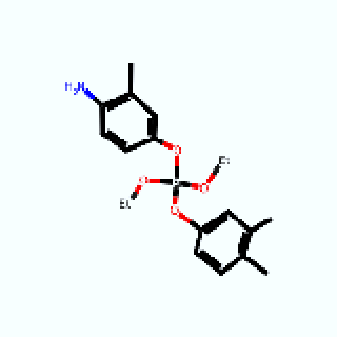 CCO[Si](OCC)(Oc1ccc(C)c(C)c1)Oc1ccc(N)c(C)c1